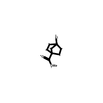 CCC12CCC(C(=O)OC)(CC1)C2